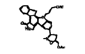 CC(=O)OCCCn1c2ccc(C3CC(COC(C)=O)ON3C)cc2c2c3c(c4c(c21)Cc1ccccc1-4)C(=O)NC3